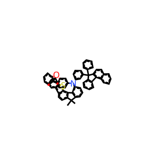 CC1(C)c2cccc(N(c3cccc(C4(c5ccccc5)c5ccccc5-c5c4ccc4ccccc54)c3)c3ccc4c(c3)oc3ccccc34)c2-c2c1ccc1c2sc2ccccc21